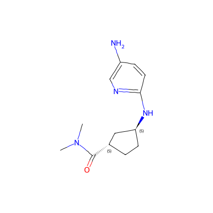 CN(C)C(=O)[C@H]1CC[C@H](Nc2ccc(N)cn2)C1